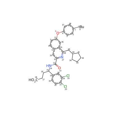 CC(C)(C)c1ccc(Oc2ccc3cc(C(=O)NC(CCC(=O)O)c4ccc(Cl)c(Cl)c4)nc(CC4CCCC4)c3c2)cc1